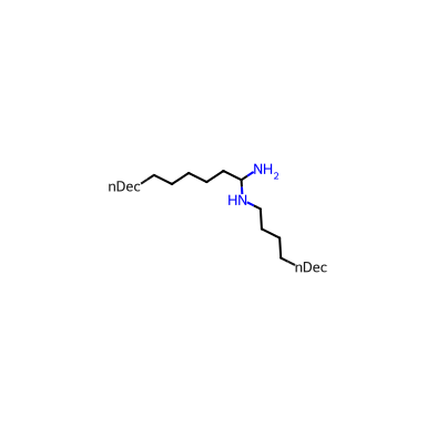 CCCCCCCCCCCCCCCC(N)NCCCCCCCCCCCCCC